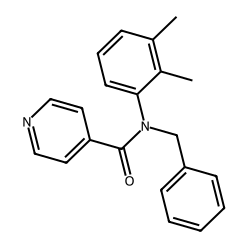 Cc1cccc(N(Cc2ccccc2)C(=O)c2ccncc2)c1C